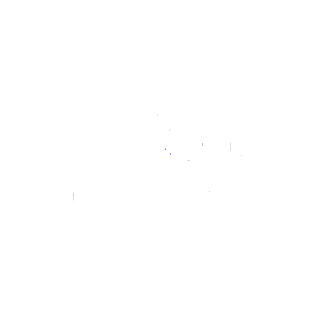 C=C1CC(=O)N(c2ccc(C)cc2)C1=C